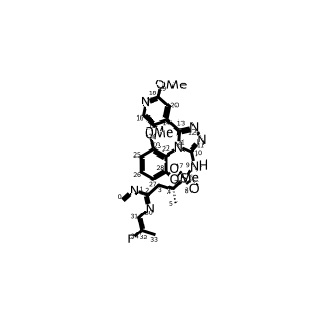 C=N/C(C[C@@H](C)S(=O)(=O)Nc1nnc(-c2ccnc(OC)c2)n1-c1c(OC)cccc1OC)=N\C=C(/C)F